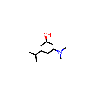 CC(C)CCCN(C)C.CC(C)O